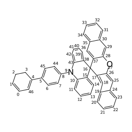 C1=CCCC(c2ccc(N3c4ccccc4C4(c5cc6ccccc6cc5Oc5cc6ccccc6cc54)c4ccccc43)cc2)=C1